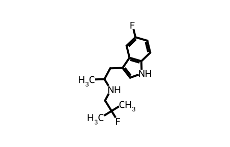 CC(Cc1c[nH]c2ccc(F)cc12)NCC(C)(C)F